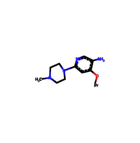 CC(C)Oc1cc(N2CCN(C)CC2)ncc1N